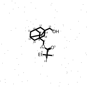 CCC(C)(I)C(=O)OCC12CC3CC(CC(CO)(C3)C1)C2